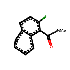 CNC(=O)c1c(F)ccc2ccccc12